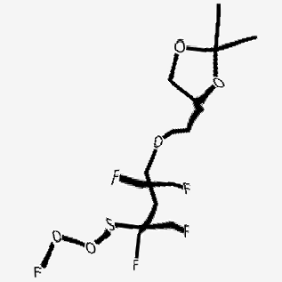 CC1(C)OCC(COC(F)(F)C(F)(F)SOOF)O1